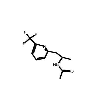 CC(=O)NC(C)Cc1cccc(C(F)(F)F)n1